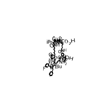 CC(C)[C@H](NC(=O)CCCCCN1C(=O)C=CC1=O)C(=O)N[C@@H](C)C(=O)N[C@@H](CCCCNC(=O)[C@@H]1CC[C@H](NC(=O)[C@@H](N)CCN(C(=O)CO)[C@@H](c2nc(-c3cc(F)ccc3F)cn2Cc2ccccc2)C(C)(C)C)C1)C(=O)O.O=C(O)C(F)(F)F